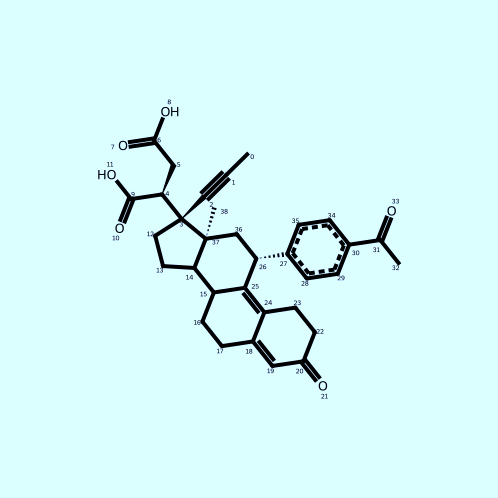 CC#C[C@]1([C@H](CC(=O)O)C(=O)O)CCC2C3CCC4=CC(=O)CCC4=C3[C@@H](c3ccc(C(C)=O)cc3)C[C@@]21C